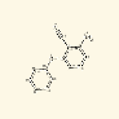 N#Cc1c(N)cccc1Oc1ccccc1